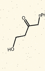 CCCCC(=O)CCO